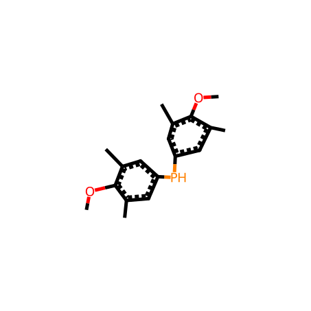 COc1c(C)cc(Pc2cc(C)c(OC)c(C)c2)cc1C